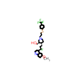 COc1ccc2nccc(C(F)CC[C@@H]3CCN(CCCSc4ccc(C(F)(F)F)cc4)C[C@@H]3CO)c2c1